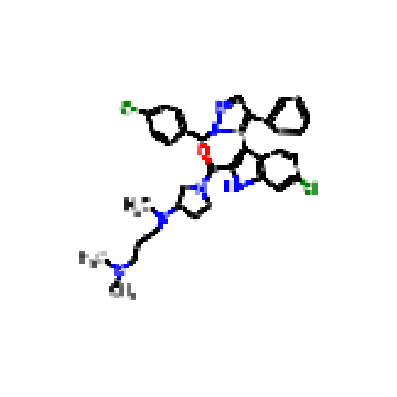 CN(C)CCCN(C)C1CCN(C(=O)c2[nH]c3cc(Cl)ccc3c2-c2c(-c3ccccc3)cnn2Cc2ccc(Cl)cc2)C1